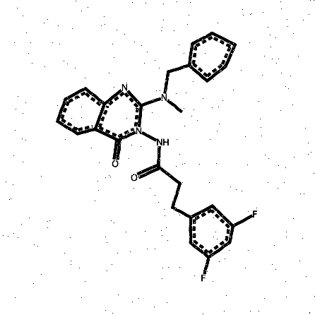 CN(Cc1ccccc1)c1nc2ccccc2c(=O)n1NC(=O)CCc1cc(F)cc(F)c1